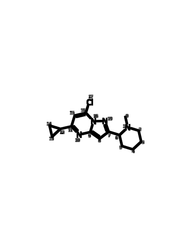 CN1CCCCC1c1cc2nc(C3CC3)cc(Cl)n2n1